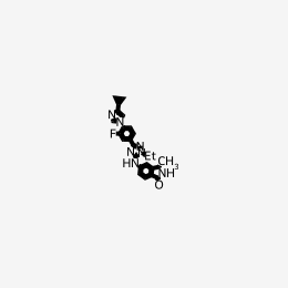 CCn1nc(-c2ccc(-n3cnc(C4CC4)c3)c(F)c2)nc1Nc1ccc2c(c1)C(C)NC2=O